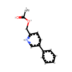 CCCC(=O)OCc1ccc(-c2ccccc2)cn1